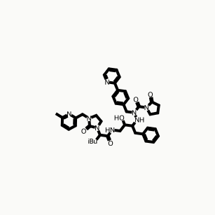 CCC(C)C(C(=O)NCC(O)C(Cc1ccccc1)NN(Cc1ccc(-c2ccccn2)cc1)C(=O)N1CCCC1=O)N1CCN(Cc2cccc(C)n2)C1=O